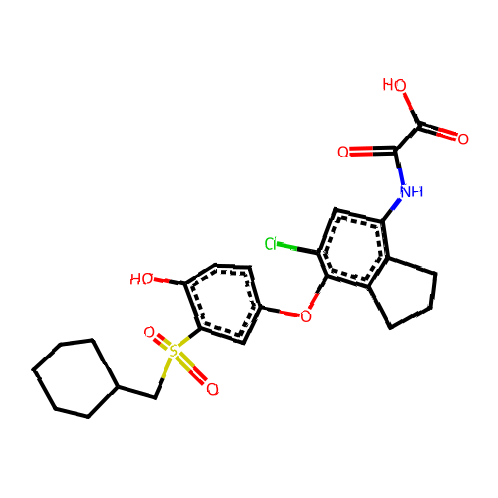 O=C(O)C(=O)Nc1cc(Cl)c(Oc2ccc(O)c(S(=O)(=O)CC3CCCCC3)c2)c2c1CCC2